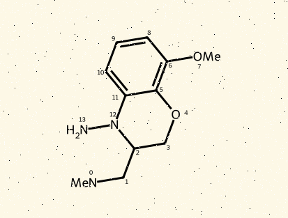 CNCC1COc2c(OC)cccc2N1N